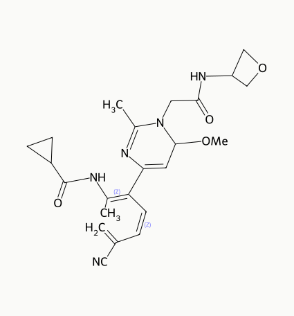 C=C(C#N)/C=C\C(C1=CC(OC)N(CC(=O)NC2COC2)C(C)=N1)=C(/C)NC(=O)C1CC1